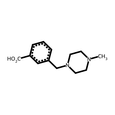 CN1CCN(Cc2cccc(C(=O)O)c2)CC1